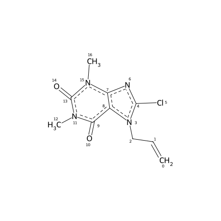 C=CCn1c(Cl)nc2c1c(=O)n(C)c(=O)n2C